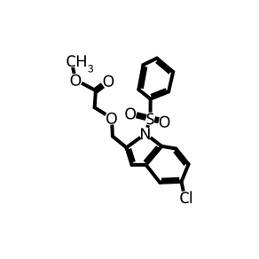 COC(=O)COCc1cc2cc(Cl)ccc2n1S(=O)(=O)c1ccccc1